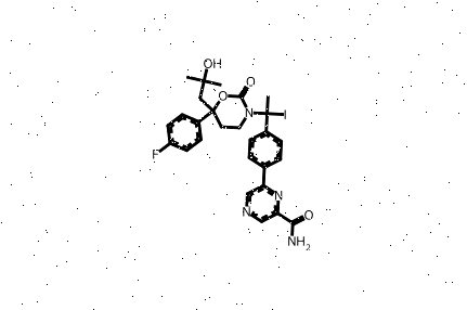 CC(C)(O)CC1(c2ccc(F)cc2)CCN(C(C)(I)c2ccc(-c3cncc(C(N)=O)n3)cc2)C(=O)O1